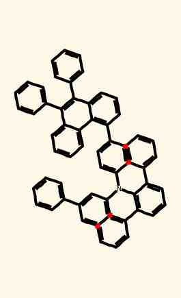 c1ccc(-c2cccc(N(c3ccc(-c4cccc5c(-c6ccccc6)c(-c6ccccc6)c6ccccc6c45)cc3)c3c(-c4ccccc4)cccc3-c3ccccc3)c2)cc1